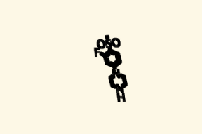 CS(=O)(=O)c1ccc(N2CCNCC2)cc1F